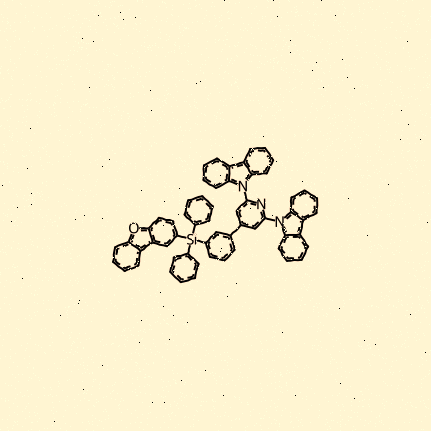 c1ccc([Si](c2ccccc2)(c2cccc(-c3cc(-n4c5ccccc5c5ccccc54)nc(-n4c5ccccc5c5ccccc54)c3)c2)c2ccc3oc4ccccc4c3c2)cc1